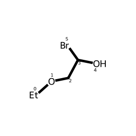 CCOCC(O)Br